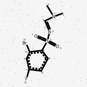 CN(C)/C=N/S(=O)(=O)c1ccc(F)cc1Br